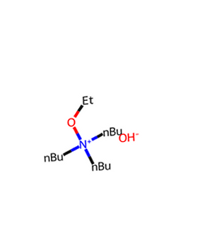 CCCC[N+](CCCC)(CCCC)OCC.[OH-]